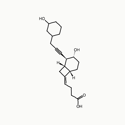 O=C(O)CC/C=C1/C[C@@H]2[C@@H](C#CCC3CCCC(O)C3)[C@H](O)CC[C@H]12